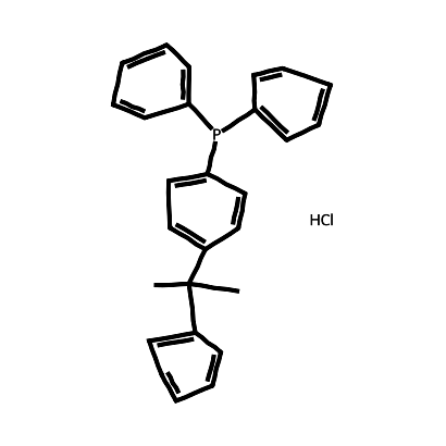 CC(C)(c1ccccc1)c1ccc(P(c2ccccc2)c2ccccc2)cc1.Cl